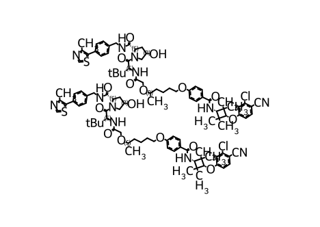 Cc1ncsc1-c1ccc(CNC(=O)[C@@H]2C[C@@H](O)CN2C(=O)[C@@H](NC(=O)CO[C@@H](C)CCCCOc2ccc(C(=O)N[C@H]3C(C)(C)[C@H](Oc4ccc(C#N)c(Cl)c4)C3(C)C)cc2)C(C)(C)C)cc1.Cc1ncsc1-c1ccc(CNC(=O)[C@@H]2C[C@@H](O)CN2C(=O)[C@@H](NC(=O)CO[C@H](C)CCCCOc2ccc(C(=O)N[C@H]3C(C)(C)[C@H](Oc4ccc(C#N)c(Cl)c4)C3(C)C)cc2)C(C)(C)C)cc1